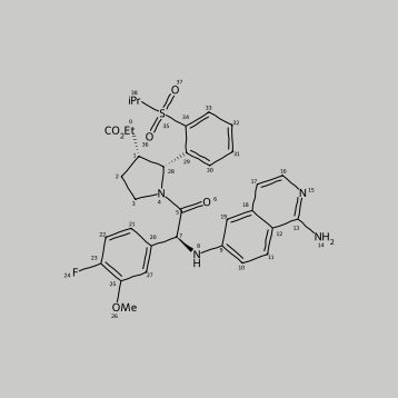 CCOC(=O)[C@H]1CCN(C(=O)[C@@H](Nc2ccc3c(N)nccc3c2)c2ccc(F)c(OC)c2)[C@H]1c1ccccc1S(=O)(=O)C(C)C